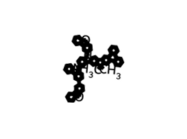 CC1(C)c2cc3c4ccccc4c4ccccc4c3cc2-c2cc3c(cc21)c1cc(-n2c4ccccc4c4cc(-c5ccc6oc7ccccc7c6c5)ccc42)ccc1n3-c1ccc2oc3ccccc3c2c1